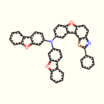 c1ccc(-c2nc3ccc4oc5ccc(N(c6ccc7c(c6)oc6ccccc67)c6ccc7c(c6)oc6ccccc67)cc5c4c3s2)cc1